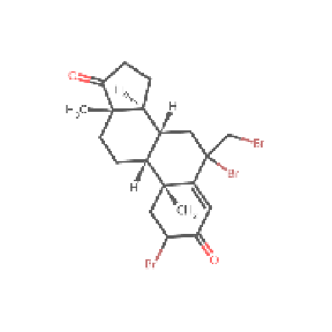 C[C@]12CC(Br)C(=O)C=C1C(Br)(CBr)C[C@@H]1[C@H]2CC[C@]2(C)C(=O)CC[C@@H]12